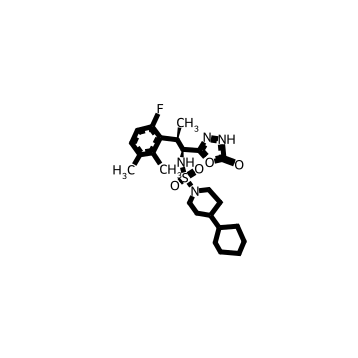 Cc1ccc(F)c([C@@H](C)[C@H](NS(=O)(=O)N2CCC(C3CCCCC3)CC2)c2n[nH]c(=O)o2)c1C